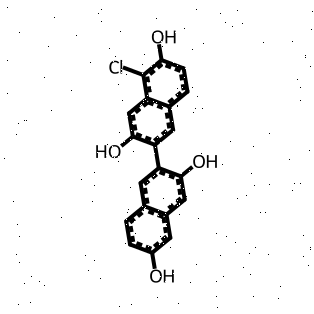 Oc1ccc2cc(-c3cc4ccc(O)c(Cl)c4cc3O)c(O)cc2c1